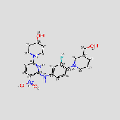 O=[N+]([O-])c1ccc(N2CCC(O)CC2)nc1Nc1ccc(N2CCCC(CO)C2)c(F)c1